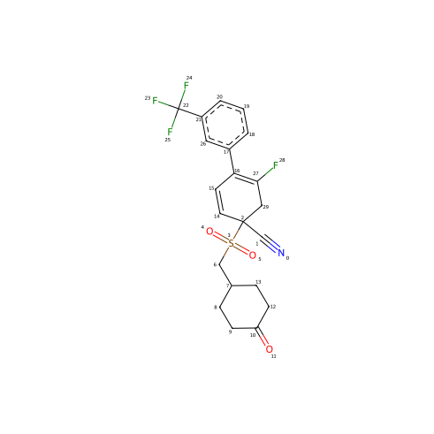 N#CC1(S(=O)(=O)CC2CCC(=O)CC2)C=CC(c2cccc(C(F)(F)F)c2)=C(F)C1